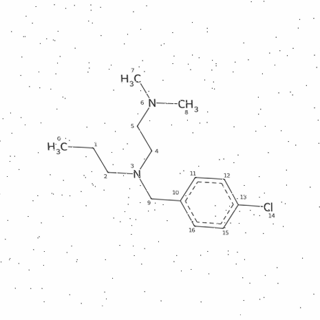 CCCN(CCN(C)C)Cc1ccc(Cl)cc1